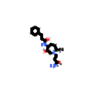 C[C@@H]1CC[C@H](NC(=O)[CH]CC2CCCCC2)C(=O)CN1CCC(N)=O